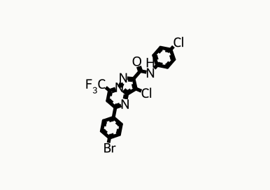 O=C(Nc1ccc(Cl)cc1)c1nn2c(C(F)(F)F)cc(-c3ccc(Br)cc3)nc2c1Cl